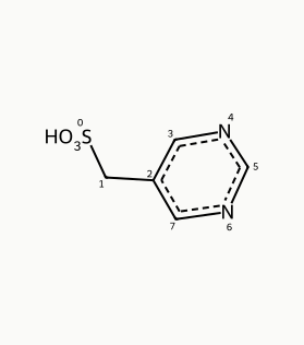 O=S(=O)(O)Cc1cncnc1